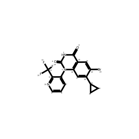 O=c1[nH]c(=O)n(-c2cccnc2C(F)(F)F)c2cc(C3CC3)c(Br)cc12